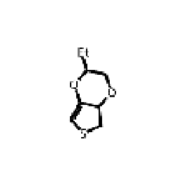 CCC1COC2CSC=C2O1